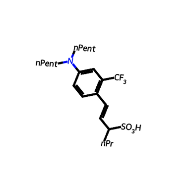 [CH2]CCC(C=Cc1ccc(N(CCCCC)CCCCC)cc1C(F)(F)F)S(=O)(=O)O